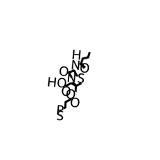 CCCC(=O)NC1C(=O)N2C(C(=O)O)=C(COC(=O)CCP=S)CSC12